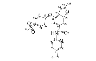 CCc1ccc(NC(=O)c2cc(OC3C=CC(S(C)(=O)=O)=CC3)c3cc(C)oc3c2)nc1